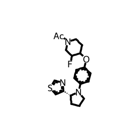 CC(=O)N1CCC(Oc2ccc(N3CCC[C@@H]3c3cscn3)cc2)C(F)C1